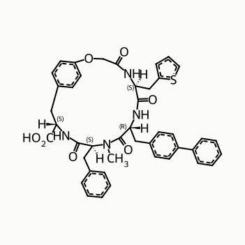 CN1C(=O)[C@@H](Cc2ccc(-c3ccccc3)cc2)NC(=O)[C@H](Cc2cccs2)NC(=O)COc2ccc(cc2)C[C@@H](C(=O)O)NC(=O)[C@@H]1Cc1ccccc1